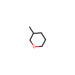 CC1[CH]CCOC1